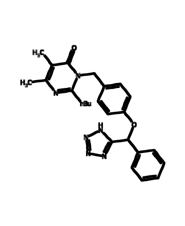 CCCCc1nc(C)c(C)c(=O)n1Cc1ccc(OC(c2ccccc2)c2nnn[nH]2)cc1